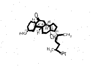 CC(C)C(C)CCC(C)[C@H]1CC[C@H]2[C@@H]3CC(=O)[C@H]4CC[C@H](O)C[C@]4(C)[C@H]3CC[C@]12C